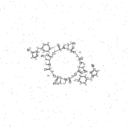 CC(C)C[C@H]1C(=O)O[C@H](Cc2ccc(Cn3nccc3Br)cc2)C(=O)N(C)[C@@H](CC(C)C)C(=O)O[C@H](C)C(=O)N(C)[C@@H](CC(C)C)C(=O)O[C@H](Cc2ccc(Cn3ccc(Br)n3)cc2)C(=O)N(C)[C@@H](CC(C)C)C(=O)O[C@H](C)C(=O)N1C